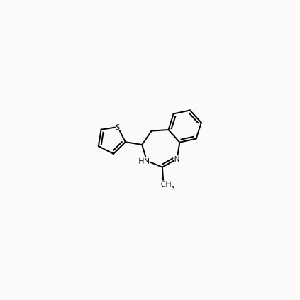 CC1=Nc2ccccc2CC(c2cccs2)N1